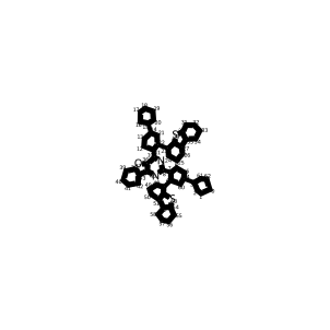 c1ccc(-c2ccc(-c3nc(-c4ccc(-c5ccccc5)cc4-c4cccc5c4sc4ccccc45)c4oc5ccccc5c4n3)c(-c3cccc4c3sc3ccccc34)c2)cc1